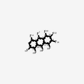 Fc1[c]c(F)c2c(F)c3c(F)c(F)c(F)c(F)c3c(F)c2c1F